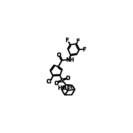 CCC1(O)C2CC1CC(S(=O)(=O)c1cc(C(=O)Nc3cc(F)c(F)c(F)c3)ccc1Cl)C2